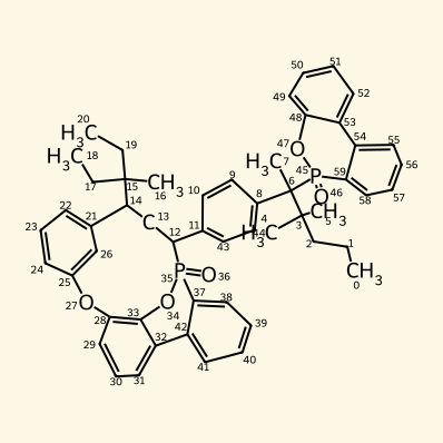 CCCC(C)(C)C(C)(c1ccc(C2CC(C(C)(CC)CC)c3cccc(c3)Oc3cccc4c3OP2(=O)c2ccccc2-4)cc1)P1(=O)Oc2ccccc2-c2ccccc21